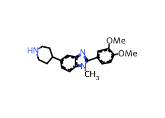 COc1ccc(-c2nc3cc(C4CCNCC4)ccc3n2C)cc1OC